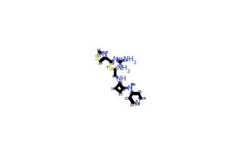 CN(C1=C(NCCSC(N=C(N)N)c2cscn2)CC1)c1ccncc1